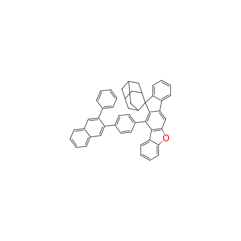 c1ccc(-c2cc3ccccc3cc2-c2ccc(-c3c4c(cc5oc6ccccc6c35)-c3ccccc3C43C4CC5CC(C4)CC3C5)cc2)cc1